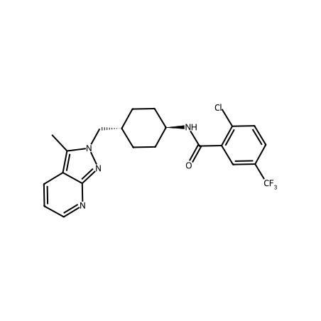 Cc1c2cccnc2nn1C[C@H]1CC[C@H](NC(=O)c2cc(C(F)(F)F)ccc2Cl)CC1